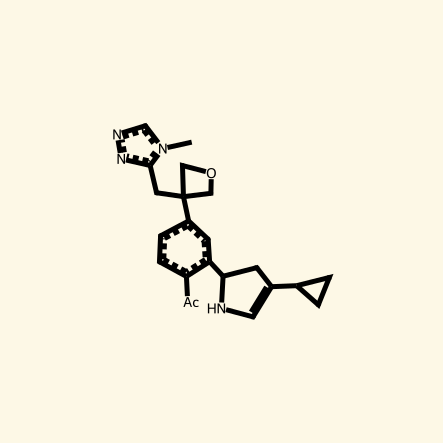 CC(=O)c1ccc(C2(Cc3nncn3C)COC2)cc1C1CC(C2CC2)=CN1